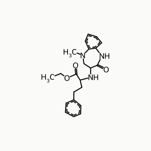 CCOC(=O)C(CCc1ccccc1)NC1CN(C)c2ccccc2NC1=O